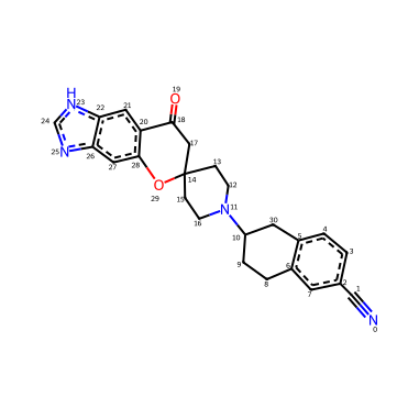 N#Cc1ccc2c(c1)CCC(N1CCC3(CC1)CC(=O)c1cc4[nH]cnc4cc1O3)C2